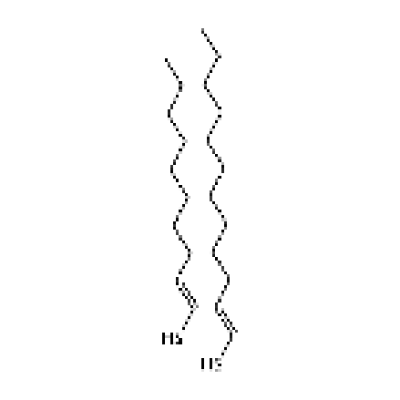 CCCCCCCCC=CS.CCCCCCCCCCC=CS